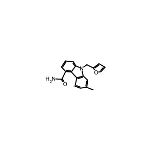 Cc1c[c]c2c3c(C(N)=O)cccc3n(Cc3ccco3)c2c1